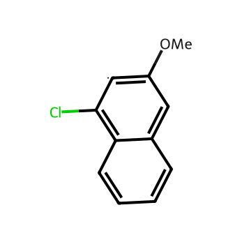 COc1[c]c(Cl)c2ccccc2c1